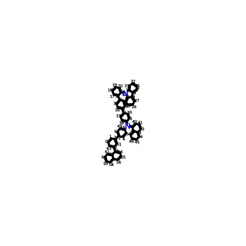 c1cc(-c2ccc(N(c3ccc(-c4ccc(-c5ccccc5-n5c6ccccc6c6ccccc65)cc4)cc3)c3cccc4ccccc34)cc2)cc(-c2cccc3ccccc23)c1